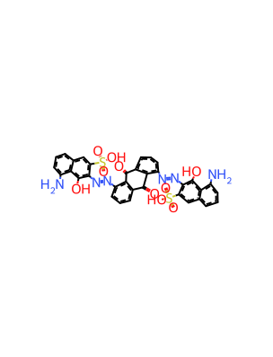 Nc1cccc2cc(S(=O)(=O)O)c(N=Nc3cccc4c3C(=O)c3cccc(N=Nc5c(S(=O)(=O)O)cc6cccc(N)c6c5O)c3C4=O)c(O)c12